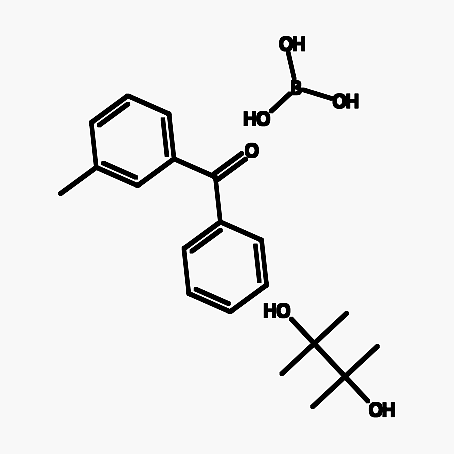 CC(C)(O)C(C)(C)O.Cc1cccc(C(=O)c2ccccc2)c1.OB(O)O